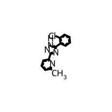 Cc1cccc(-c2n[nH]c(-c3ccccc3Cl)n2)n1